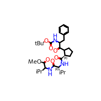 COC(=O)C(NC(=O)[C@H](NC(=O)[C@@H]1CCCC1C(=O)C(Cc1ccccc1)NC(=O)OC(C)(C)C)C(C)C)C(C)C